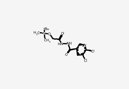 CC(C)(C)[Si](C)(C)OCC(=O)NNC(=O)c1cnc(Cl)c(Cl)c1